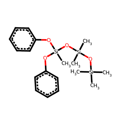 C[Si](C)(C)O[Si](C)(C)O[Si](C)(Oc1ccccc1)Oc1ccccc1